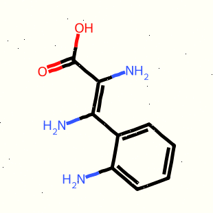 NC(C(=O)O)=C(N)c1ccccc1N